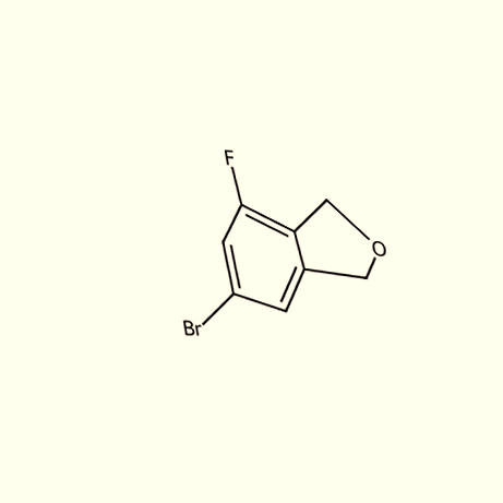 Fc1cc(Br)cc2c1COC2